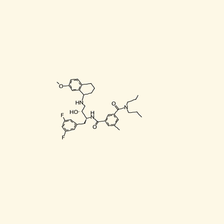 CCCN(CCC)C(=O)c1cc(C)cc(C(=O)N[C@@H](Cc2cc(F)cc(F)c2)[C@H](O)CNC2CCCc3ccc(OC)cc32)c1